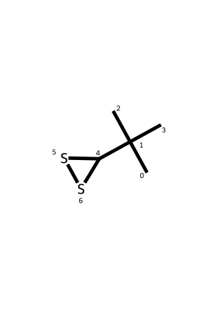 CC(C)(C)C1SS1